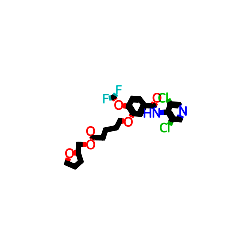 O=C(CCCCOc1cc(C(=O)Nc2c(Cl)cncc2Cl)ccc1OC(F)F)OCC1CCCO1